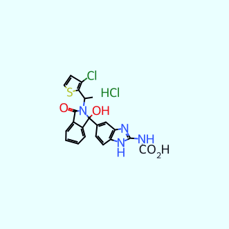 CC(c1sccc1Cl)N1C(=O)c2ccccc2C1(O)c1ccc2[nH]c(NC(=O)O)nc2c1.Cl